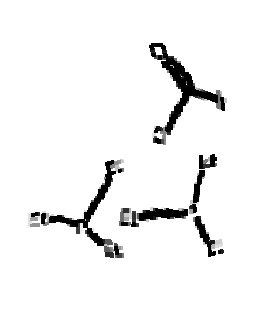 CCP(CC)CC.CCP(CC)CC.O=[C](Cl)[Ir]